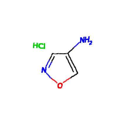 Cl.Nc1cnoc1